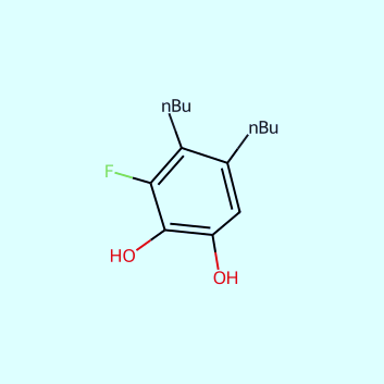 CCCCc1cc(O)c(O)c(F)c1CCCC